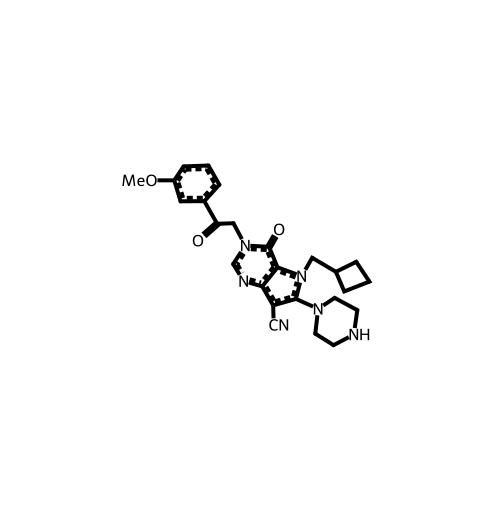 COc1cccc(C(=O)Cn2cnc3c(C#N)c(N4CCNCC4)n(CC4CCC4)c3c2=O)c1